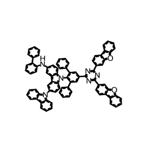 c1ccc(-c2ccccc2Nc2ccc3c(c2)c2cc(-n4c5ccccc5c5ccccc54)ccc2n3-c2c(-c3ccccc3)cc(-c3nc(-c4ccc5c(c4)oc4ccccc45)nc(-c4ccc5c(c4)oc4ccccc45)n3)cc2-c2ccccc2)cc1